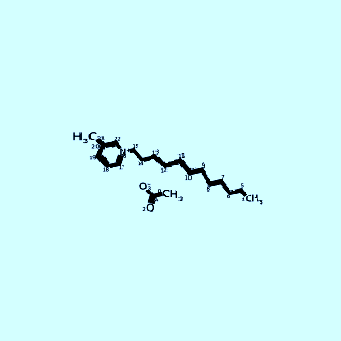 CC(=O)[O-].CCCCCCCCCCCC[n+]1cccc(C)c1